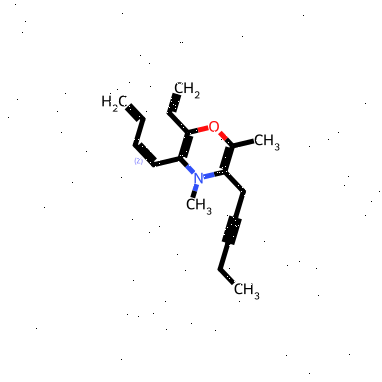 C=C/C=C\C1=C(C=C)OC(C)=C(CC#CCC)N1C